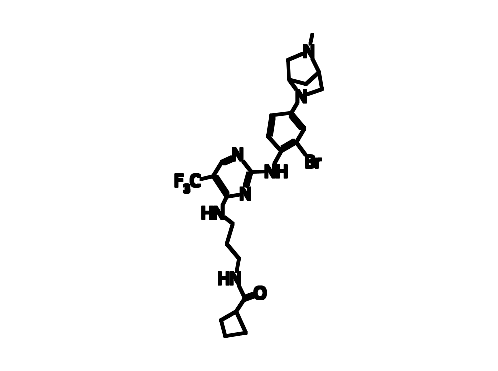 CN1CC2CC1CN2c1ccc(Nc2ncc(C(F)(F)F)c(NCCCNC(=O)C3CCC3)n2)c(Br)c1